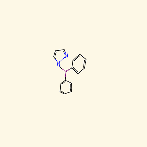 c1ccc(P(Cn2cccn2)c2ccccc2)cc1